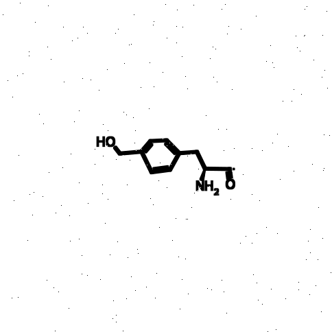 N[C@H]([C]=O)Cc1ccc(CO)cc1